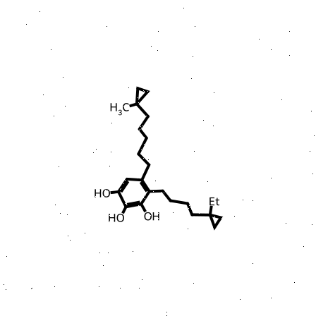 CCC1(CCCCc2c(CCCCCC3(C)CC3)cc(O)c(O)c2O)CC1